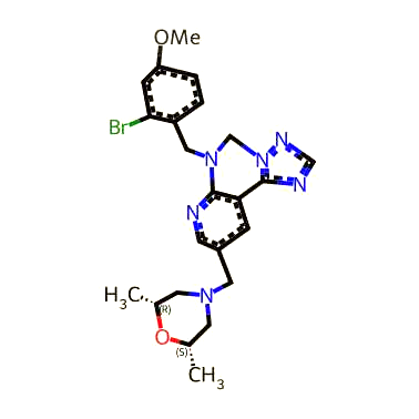 COc1ccc(CN2Cn3ncnc3-c3cc(CN4C[C@@H](C)O[C@@H](C)C4)cnc32)c(Br)c1